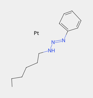 CCCCCCNN=Nc1ccccc1.[Pt]